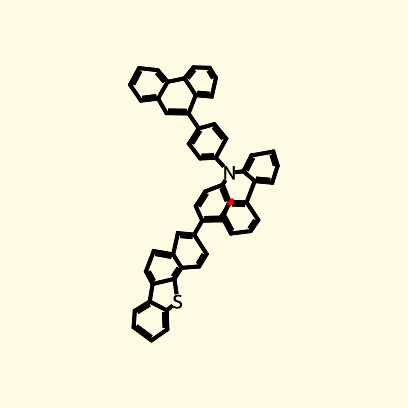 c1ccc(-c2ccccc2N(c2ccc(-c3ccc4c(ccc5c6ccccc6sc45)c3)cc2)c2ccc(-c3cc4ccccc4c4ccccc34)cc2)cc1